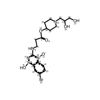 O=C(CCNc1n[n+](O)c2cc(Br)ccc2[n+]1[O-])OC1CCN(CC(O)CO)CC1